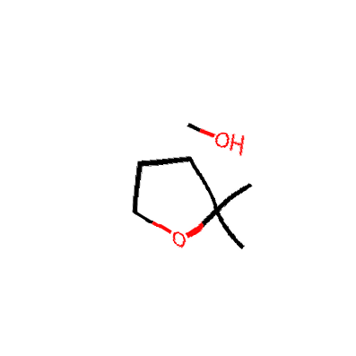 CC1(C)CCCO1.CO